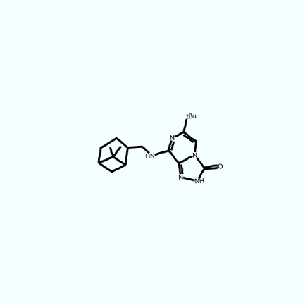 CC(C)(C)c1cn2c(=O)[nH]nc2c(NCC2CCC3CC2C3(C)C)n1